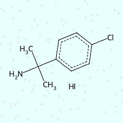 CC(C)(N)c1ccc(Cl)cc1.I